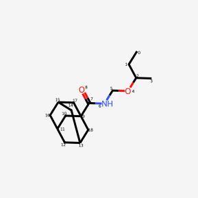 CCC(C)OCNC(=O)C12CC3CC(CC(C3)C1)C2